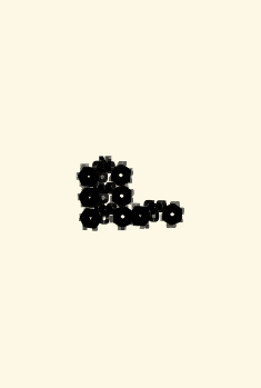 [Ni].c1ccc2c(c1)OP(OC1CCCCC1)O2.c1ccc2c(c1)OP(OC1CCCCC1)O2.c1ccc2c(c1)OP(OC1CCCCC1)O2.c1ccc2c(c1)OP(OC1CCCCC1)O2